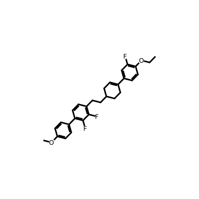 CCOc1ccc(C2=CCC(CCc3ccc(-c4ccc(OC)cc4)c(F)c3F)CC2)cc1F